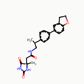 CC(CNC(=O)CC1(C)NC(=O)NC1=O)c1ccc(-c2ccc3c(c2)CCO3)cc1